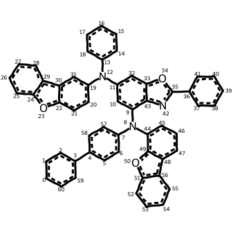 c1ccc(-c2ccc(N(c3cc(N(c4ccccc4)c4ccc5oc6ccccc6c5c4)cc4oc(-c5ccccc5)nc34)c3cccc4c3oc3ccccc34)cc2)cc1